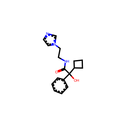 O=C(NCCn1ccnc1)C(O)(c1ccccc1)C1CCC1